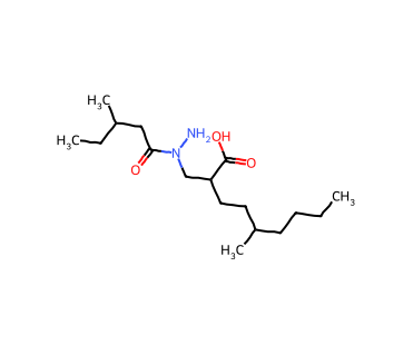 CCCCC(C)CCC(CN(N)C(=O)CC(C)CC)C(=O)O